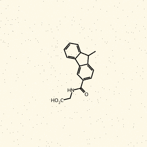 CC1c2ccccc2-c2cc(C(=O)NCC(=O)O)ccc21